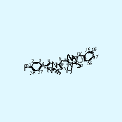 Fc1ccc(-c2cn3c(Cc4nn(Cc5ccccc5)c(=S)[nH]4)csc3n2)cc1